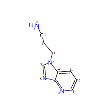 NCCCn1cnc2ncccc21